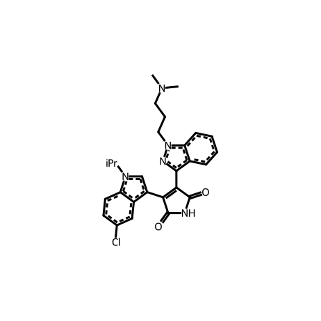 CC(C)n1cc(C2=C(c3nn(CCCN(C)C)c4ccccc34)C(=O)NC2=O)c2cc(Cl)ccc21